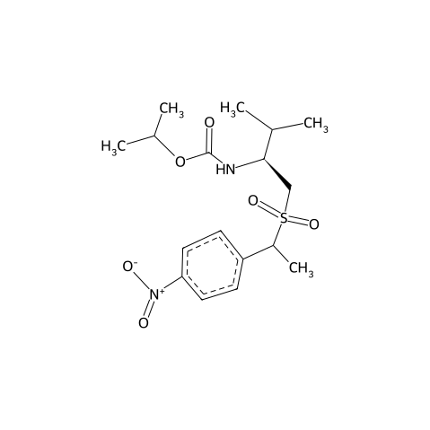 CC(C)OC(=O)N[C@H](CS(=O)(=O)C(C)c1ccc([N+](=O)[O-])cc1)C(C)C